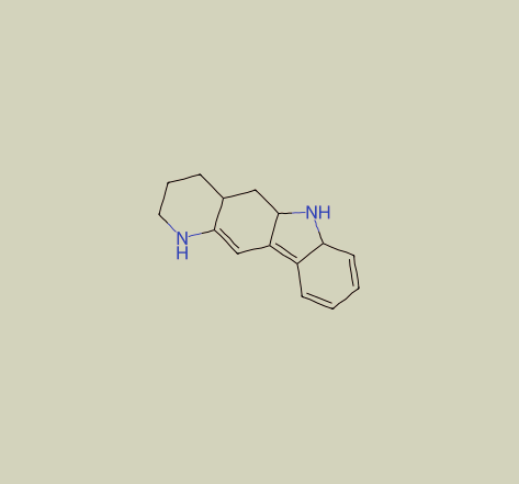 C1=CC2=C3C=C4NCCCC4CC3NC2C=C1